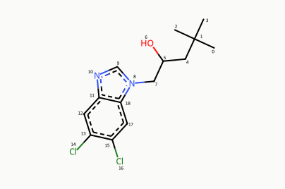 CC(C)(C)CC(O)Cn1cnc2cc(Cl)c(Cl)cc21